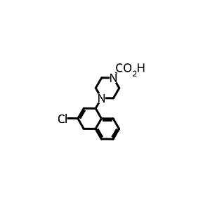 O=C(O)N1CCN(C2C=C(Cl)Cc3ccccc32)CC1